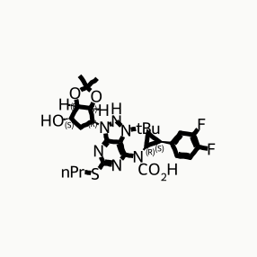 CCCSc1nc2c(c(N(C(=O)O)[C@@H]3C[C@H]3c3ccc(F)c(F)c3)n1)N(C(C)(C)C)NN2[C@@H]1C[C@H](O)[C@H]2OC(C)(C)O[C@H]21